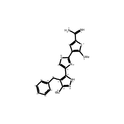 CSc1sc(C(=N)N)cc1-c1nc(-c2[nH]nc(C(C)(C)C)c2Cc2ccccc2)cs1